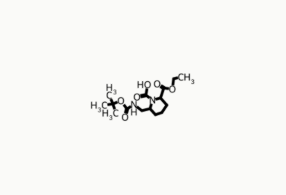 CCOC(=O)C1CCCC(CNC(=O)OC(C)(C)C)N1C(=O)O